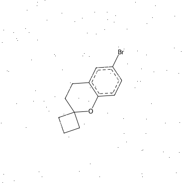 Brc1ccc2c(c1)CCC1(CCC1)O2